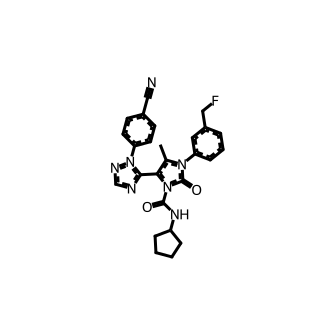 Cc1c(-c2ncnn2-c2ccc(C#N)cc2)n(C(=O)NC2CCCC2)c(=O)n1-c1cccc(CF)c1